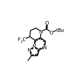 Cc1cc2ncc3c(n2n1)C(C(F)(F)F)CCN3C(=O)OC(C)(C)C